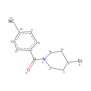 CCC1CCN(C(=O)c2ccc(C#N)cc2)CC1